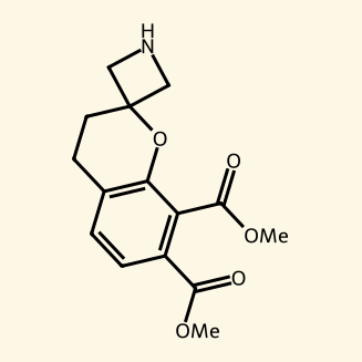 COC(=O)c1ccc2c(c1C(=O)OC)OC1(CC2)CNC1